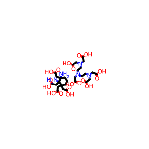 NC1(CC(=O)O)CCCC(CC(=O)O)(CC(=O)O)C1(N)CC(=O)O.O=C(O)CN(CCN(CC(=O)O)CC(=O)O)CCN(CC(=O)O)CC(=O)O